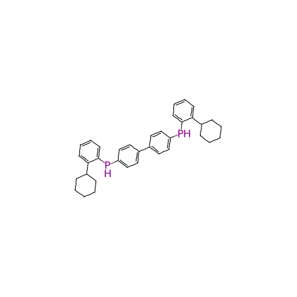 c1ccc(C2CCCCC2)c(Pc2ccc(-c3ccc(Pc4ccccc4C4CCCCC4)cc3)cc2)c1